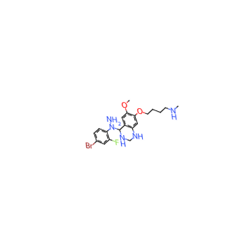 CNCCCCOc1cc2c(cc1OC)C(N(N)c1ccc(Br)cc1F)NCN2